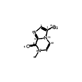 CCC(C)c1cnc2c(=O)n(C)ccn12